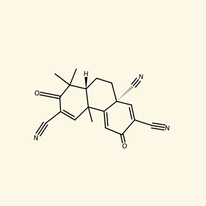 CC1(C)C(=O)C(C#N)=CC2(C)C3=CC(=O)C(C#N)=C[C@]3(C#N)CC[C@@H]12